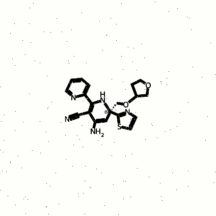 N#CC1=C(c2ccccn2)N[C@@](COC2CCOC2)(c2nccs2)C=C1N